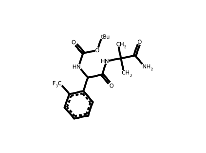 CC(C)(C)OC(=O)NC(C(=O)NC(C)(C)C(N)=O)c1ccccc1C(F)(F)F